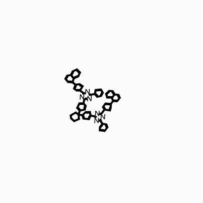 c1ccc(-c2nc(-c3ccc(-c4cccc5ccccc45)cc3)nc(-c3ccc(C4(c5ccc(-c6nc(-c7ccccc7)nc(-c7ccc(-c8cccc9ccccc89)cc7)n6)cc5)CCCCC4)cc3)n2)cc1